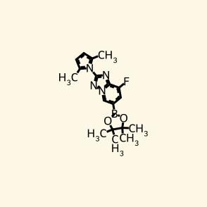 Cc1ccc(C)n1-c1nc2c(F)cc(B3OC(C)(C)C(C)(C)O3)cn2n1